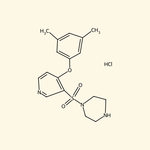 Cc1cc(C)cc(Oc2ccncc2S(=O)(=O)N2CCNCC2)c1.Cl